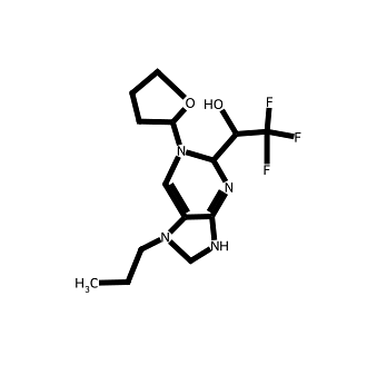 CCCN1CNC2=NC(C(O)C(F)(F)F)N(C3CCCO3)C=C21